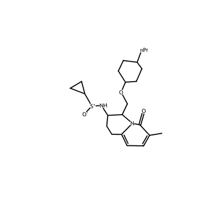 CCCC1CCC(OCC2C(N[S+]([O-])C3CC3)CCc3ccc(C)c(=O)n32)CC1